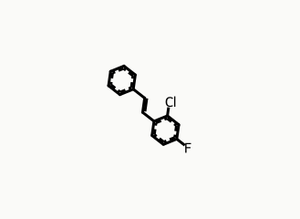 Fc1ccc(C=Cc2ccccc2)c(Cl)c1